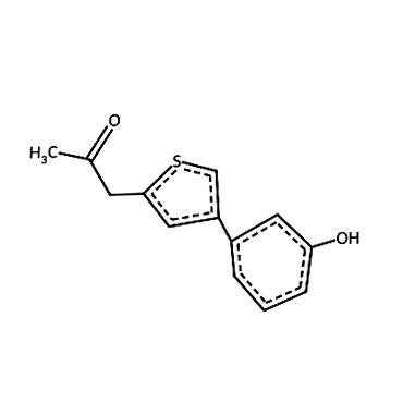 CC(=O)Cc1cc(-c2cccc(O)c2)cs1